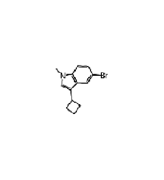 Cn1cc(C2CCC2)c2cc(Br)ccc21